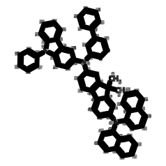 CC1(C)c2cc(N(c3cccc(-c4ccccc4)c3)c3ccc4c(c3)c3ccccc3n4-c3ccccc3)ccc2-c2ccc(N(c3cccc4ccccc34)c3cccc4ccccc34)cc21